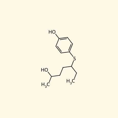 CCC(CCC(C)O)Sc1ccc(O)cc1